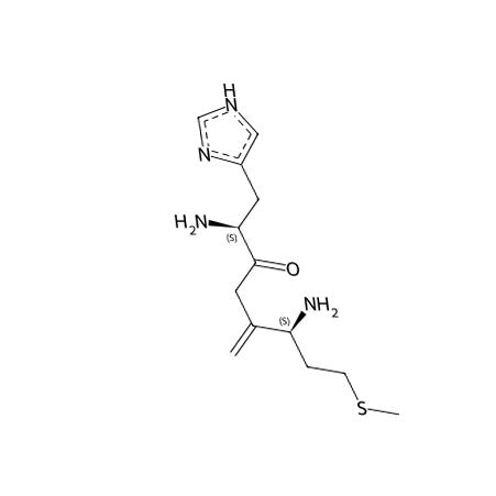 C=C(CC(=O)[C@@H](N)Cc1c[nH]cn1)[C@@H](N)CCSC